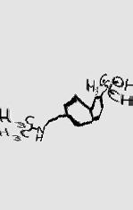 CC(C)NCCc1ccc2cc([Si](C)(C)O)ccc2c1